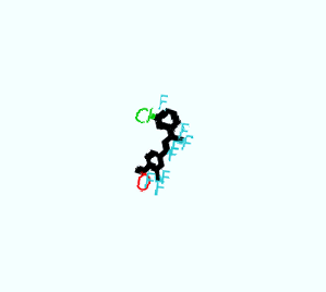 CC(=O)c1ccc(/C(F)=C/C(c2ccc(F)c(Cl)c2)C(F)(F)F)cc1C(F)(F)F